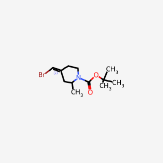 CC1C/C(=C\Br)CCN1C(=O)OC(C)(C)C